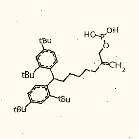 C=C(CCCCCC(c1ccc(C(C)(C)C)cc1C(C)(C)C)c1ccc(C(C)(C)C)cc1C(C)(C)C)COP(O)O